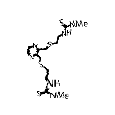 CNC(=S)NCCSCc1nccnc1CSCCNC(=S)NC